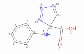 O=C(O)C1(Nc2ccccc2)C=NN=N1